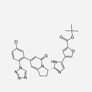 CC(C)(C)OC(=O)c1cc(-c2cnc([C@@H]3CCc4cc(-c5cc(Cl)ccc5-n5cnnn5)cc(=O)n43)[nH]2)co1